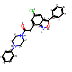 O=C(Cc1cc(Cl)cc2c(-c3ccccc3)onc12)N1CCN(c2ccccc2)CC1